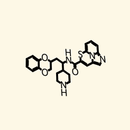 O=C(NC(CC1COc2ccccc2O1)C1CCNCC1)C1=Cc2cnc3cccc(n23)S1